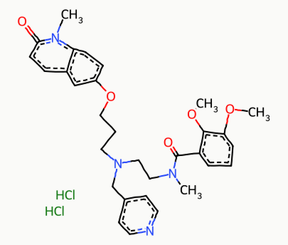 COc1cccc(C(=O)N(C)CCN(CCCOc2ccc3c(ccc(=O)n3C)c2)Cc2ccncc2)c1OC.Cl.Cl